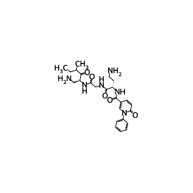 CCC(C)C(=O)[C@H](CN)NC(=O)CNC(=O)[C@H](CCN)NC(=O)c1ccc(=O)n(-c2ccccc2)c1